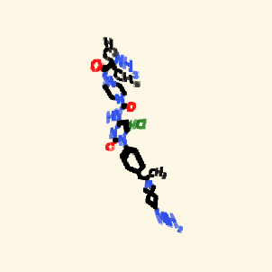 CC(Cc1ccc(-n2ccc(NC(=O)N3CCN(C(=O)C(C)(C)N)CC3)nc2=O)cc1)N1CC2(CC(N)C2)C1.Cl